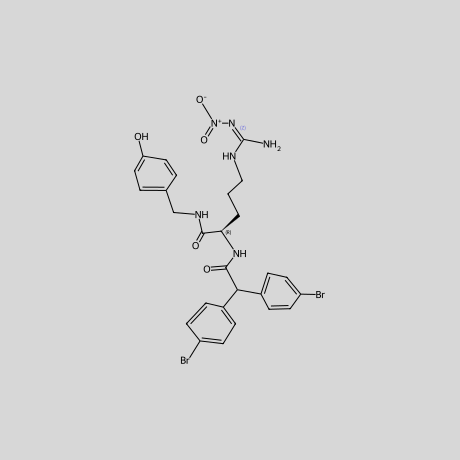 N/C(=N/[N+](=O)[O-])NCCC[C@@H](NC(=O)C(c1ccc(Br)cc1)c1ccc(Br)cc1)C(=O)NCc1ccc(O)cc1